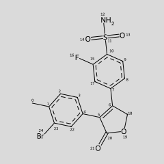 Cc1ccc(C2=C(c3ccc(S(N)(=O)=O)c(F)c3)COC2=O)cc1Br